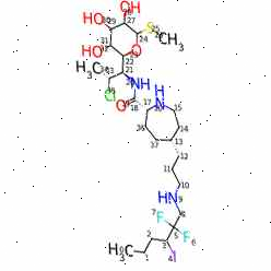 CCCC(I)C(F)(F)CNCCC[C@H]1CCN[C@@H](C(=O)N[C@H]([C@@H]2OC(SC)[C@H](O)C(O)C2O)[C@@H](C)Cl)CC1